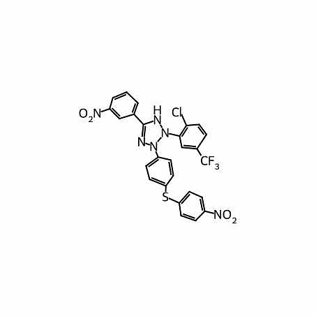 O=[N+]([O-])c1ccc(Sc2ccc(N3N=C(c4cccc([N+](=O)[O-])c4)NN3c3cc(C(F)(F)F)ccc3Cl)cc2)cc1